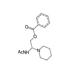 CC(=O)NC(COC(=O)c1ccccc1)N1CCCCC1